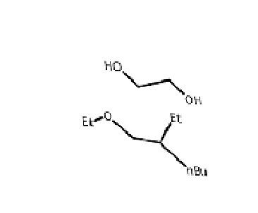 CCCCC(CC)COCC.OCCO